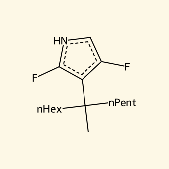 CCCCCCC(C)(CCCCC)c1c(F)c[nH]c1F